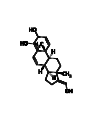 C[C@]12C=CC(O)C(O)=C1C=C[C@@H]1[C@@H]2CC[C@]2(C)C(=CO)CC[C@@H]12